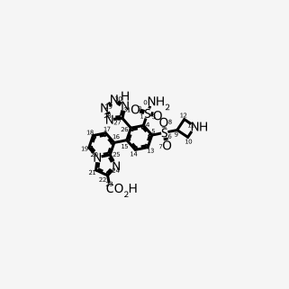 NS(=O)(=O)c1c(S(=O)(=O)C2CNC2)ccc(-c2cccn3cc(C(=O)O)nc23)c1-c1nnn[nH]1